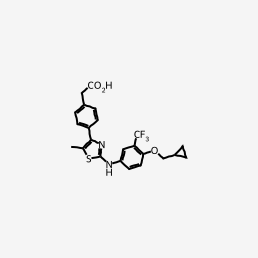 Cc1sc(Nc2ccc(OCC3CC3)c(C(F)(F)F)c2)nc1-c1ccc(CC(=O)O)cc1